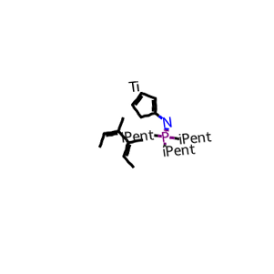 CC=C(C)C(C)=CC.CCCC(C)P(=NC1=CC=CC1)(C(C)CCC)C(C)CCC.[Ti]